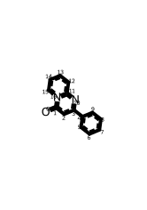 O=c1cc(-c2ccccc2)nc2ccccn12